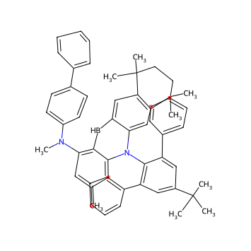 Cc1cc(N(C)c2ccc(-c3ccccc3)cc2)c2c(c1)N(c1c(-c3ccccc3)cc(C(C)(C)C)cc1-c1ccccc1)c1cc3c(cc1B2)C(C)(C)CCC3(C)C